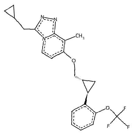 Cc1c(OC[C@@H]2C[C@H]2c2ccccc2OC(F)(F)F)ccn2c(CC3CC3)nnc12